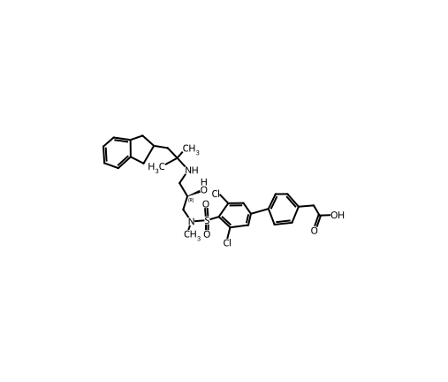 CN(C[C@H](O)CNC(C)(C)CC1Cc2ccccc2C1)S(=O)(=O)c1c(Cl)cc(-c2ccc(CC(=O)O)cc2)cc1Cl